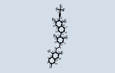 Cc1ccc2c(F)c(CCc3cc(F)c(-c4ccc5c(F)c(C#CC(F)(F)F)c(F)cc5c4)c(F)c3)c(F)cc2c1